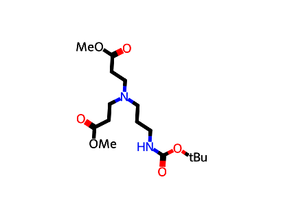 COC(=O)CCN(CCCNC(=O)OC(C)(C)C)CCC(=O)OC